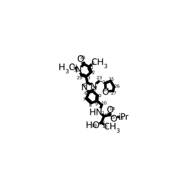 Cc1cc(-c2nc3ccc(CNC(C(=O)OC(C)C)C(C)O)cc3n2C[C@@H]2CCCO2)cn(C)c1=O